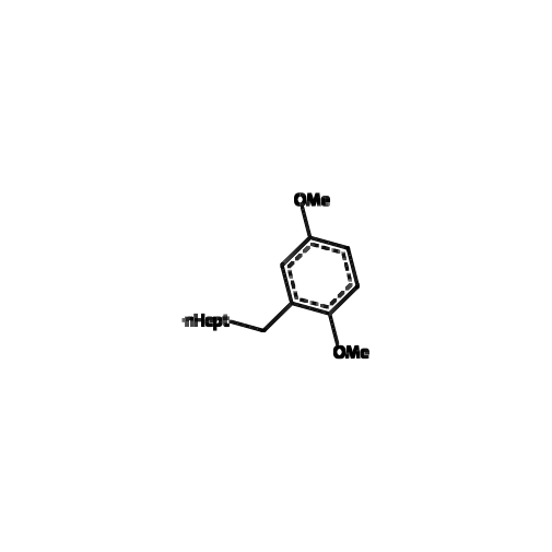 CCCCCC[CH]Cc1cc(OC)ccc1OC